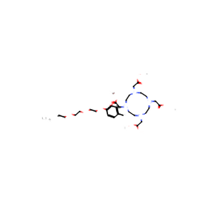 COCCOCCOCCOc1ccc(C[C@H]2CN(CC(O)OC(C)(C)C)CCN(CC(=O)OC(C)(C)C)CCN(CC(=O)OC(C)(C)C)CCN2CC(=O)OC(C)(C)C)cc1